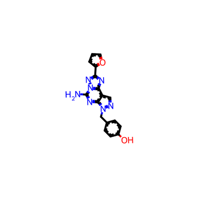 Nc1nc2c(cnn2Cc2ccc(O)cc2)c2nc(-c3ccco3)nn12